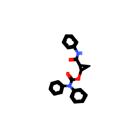 O=C(Nc1ccccc1)C1CC1OC(=O)N(c1ccccc1)c1ccccc1